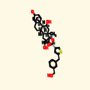 C[C@]12C=CC(=O)C=C1CC[C@@H]1[C@@H]2[C@@H](O)C[C@@]2(C)[C@H]1C[C@H]1O[C@@H](c3csc(Cc4cccc(CO)c4)c3)O[C@]12C(=O)CO